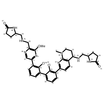 COc1nc(-c2cccc(-c3cccc(-c4ccc5c(n4)N(C)CCC5NCC4CCC(=O)N4)c3Cl)c2Cl)cnc1CNCC1CCC(=O)N1